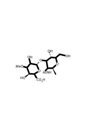 COC1C(O)[C@H](OC2C(NC(C)=O)[C@H](C)OC(CO)[C@H]2O)OC(C(=O)O)[C@H]1O